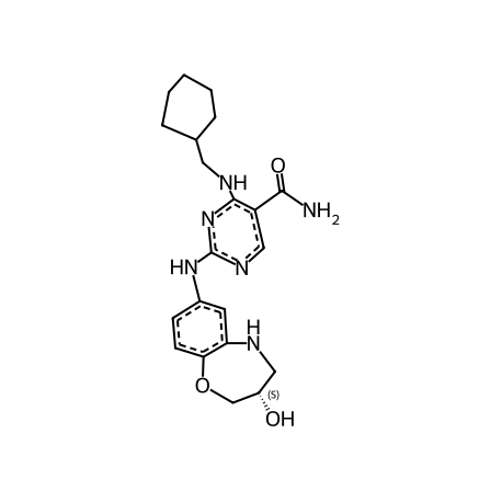 NC(=O)c1cnc(Nc2ccc3c(c2)NC[C@H](O)CO3)nc1NCC1CCCCC1